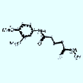 COc1ccc(NC(=O)CCCC(=O)NO)cc1OC